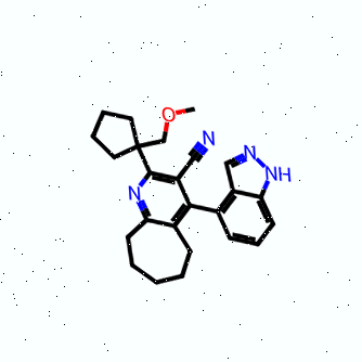 COCC1(c2nc3c(c(-c4cccc5[nH]ncc45)c2C#N)CCCCC3)CCCC1